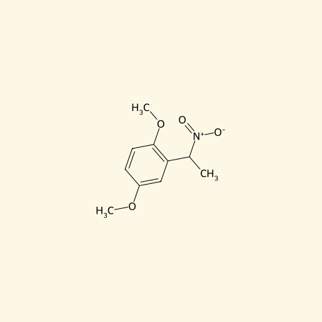 COc1ccc(OC)c(C(C)[N+](=O)[O-])c1